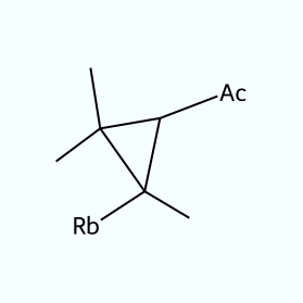 CC(=O)C1C(C)(C)[C]1(C)[Rb]